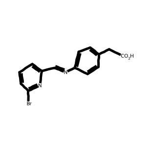 O=C(O)Cc1ccc(N=Cc2cccc(Br)n2)cc1